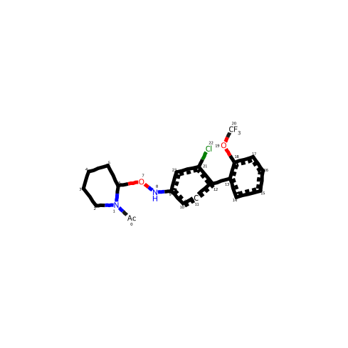 CC(=O)N1CCCCC1ONc1ccc(-c2ccccc2OC(F)(F)F)c(Cl)c1